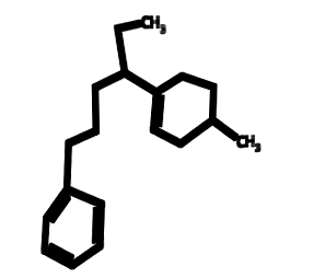 CCC(CCCc1ccccc1)C1=CCC(C)CC1